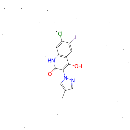 Cc1cnn(-c2c(O)c3cc(I)c(Cl)cc3[nH]c2=O)c1